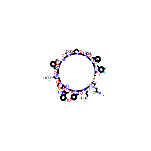 CCCC[C@H]1C(=O)N2CCC[C@@H]2C(=O)N[C@@H](CC(=O)O)C(=O)N[C@@H](C(C)C)C(=O)N(C)[C@@H](Cc2ccccc2)C(=O)N[C@@H](CCC(=O)O)C(=O)N2CCOC[C@@H]2C(=O)N[C@@H](Cc2c[nH]c3ccccc23)C(=O)N[C@@H](Cc2ccc(O)cc2)C(=O)N[C@@H](CCCN)C(=O)N[C@H](C(=O)NCC(N)=O)CSCC(=O)N[C@@H](Cc2cc(F)c(F)c(F)c2)C(=O)N(C)[C@@H](Cc2ccccc2)C(=O)N1C